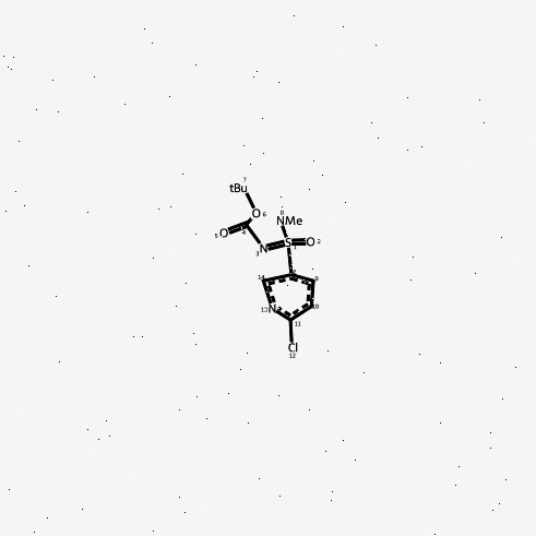 CNS(=O)(=NC(=O)OC(C)(C)C)c1ccc(Cl)nc1